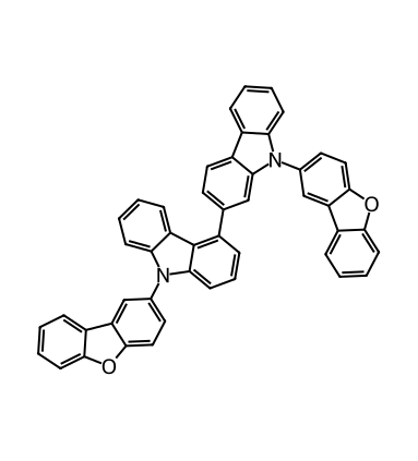 c1ccc2c(c1)oc1ccc(-n3c4ccccc4c4ccc(-c5cccc6c5c5ccccc5n6-c5ccc6oc7ccccc7c6c5)cc43)cc12